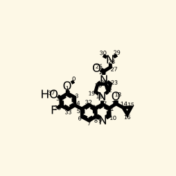 COc1cc(-c2ccc3ncc(C(=O)C4CC4)c(N4CC5CC4CN5C(=O)CN(C)C)c3c2)cc(F)c1O